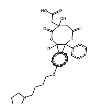 O=C(O)CC1(O)CC(=O)OC(c2ccccc2)(c2ccc(OCCCCN3CCCC3)cc2)C(Cl)(c2ccccc2)OC1=O